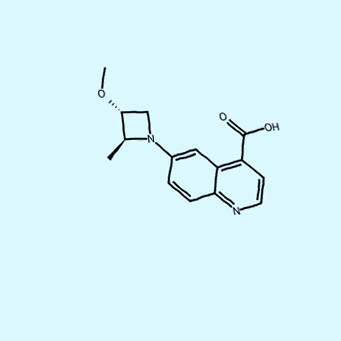 CO[C@@H]1CN(c2ccc3nccc(C(=O)O)c3c2)[C@H]1C